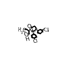 CCC(CO)N1C(=O)CC[C@H](c2cccc(Cl)c2)[C@H]1c1ccc(Cl)cc1